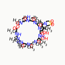 CC(C)C[C@@H]1C(=O)N[C@H](CC(C)C)C(=O)N(C)C(C(C)C)C(=O)N(C)C([C@H](O)[C@H](C)CCN2CCS(=O)(=O)CC2)C(=O)NC([C@@H](C)O)C(=O)N(C)CC(=O)N(C)[C@@H](CC(C)C)C(=O)N[C@H](CC(C)C)N(C)[C@H](CC(C)C)N[C@H](C)C(=O)OC(=O)N1C